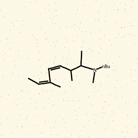 C/C=C(C)\C=C/C(C)C(C)N(C)CCCC